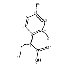 CCC(C(=O)O)c1ccc(C)cc1C